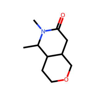 CC1C2CCOCC2CC(=O)N1C